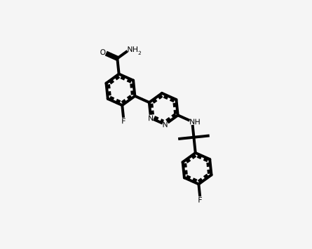 CC(C)(Nc1ccc(-c2cc(C(N)=O)ccc2F)nn1)c1ccc(F)cc1